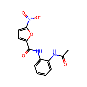 CC(=O)Nc1ccccc1NC(=O)c1ccc([N+](=O)[O-])o1